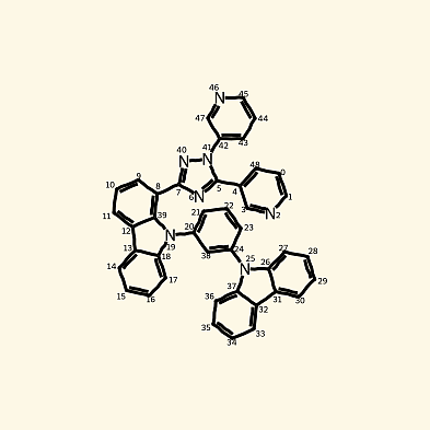 c1cncc(-c2nc(-c3cccc4c5ccccc5n(-c5cccc(-n6c7ccccc7c7ccccc76)c5)c34)nn2-c2cccnc2)c1